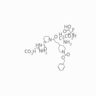 CC(N)C(=O)O.N[C@H](CC(=O)O)NC(=O)[C@@H]1CCCN(C(=O)CCC2CCN(C(=O)OCc3ccccc3)CC2)C1.O=C(O)C(F)(F)F